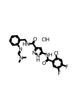 CN(C)/C=N/c1ccccc1CNC(=O)c1cc(NC(=O)c2cc(F)c(F)cc2Cl)[nH]n1.Cl